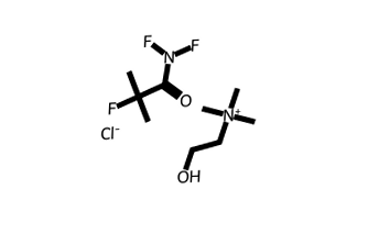 CC(C)(F)C(=O)N(F)F.C[N+](C)(C)CCO.[Cl-]